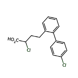 O=C(O)C(Cl)CCc1ccccc1-c1ccc(Cl)cc1